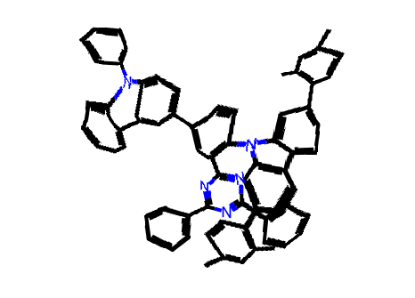 Cc1ccc(-c2ccc3c4ccc(-c5ccc(C)cc5C)cc4n(-c4ccc(-c5ccc6c(c5)c5ccccc5n6-c5ccccc5)cc4-c4nc(-c5ccccc5)nc(-c5ccccc5)n4)c3c2)c(C)c1